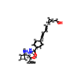 COC(=O)[C@@H](NC(=O)c1ccc(C#CC#C[C@@H]2C[C@H]2CO)cc1)C1(N)CCC1